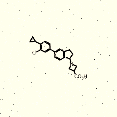 O=C(O)C1CN(C2CCc3cc(-c4ccc(C5CC5)c(Cl)c4)ccc32)C1